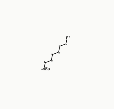 CCCCCCC[CH]CCF